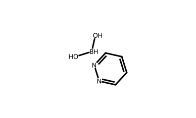 OBO.c1ccnnc1